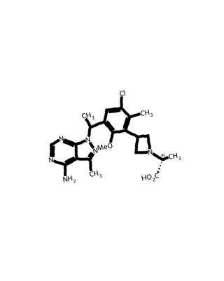 COc1c(C(C)n2nc(C)c3c(N)ncnc32)cc(Cl)c(C)c1C1CN([C@H](C)C(=O)O)C1